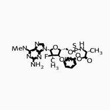 CNc1nc(N)nc2c1ncn2[C@@H]1O[C@H](CO[P@@](=S)(N[C@H](C)C(=O)OC)Oc2ccccc2)[C@@H](O)[C@@]1(C)F